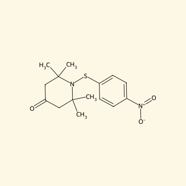 CC1(C)CC(=O)CC(C)(C)N1Sc1ccc([N+](=O)[O-])cc1